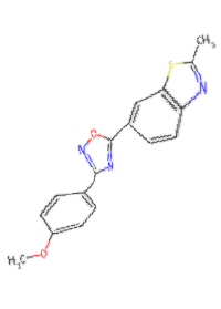 COc1ccc(-c2noc(-c3ccc4nc(C)sc4c3)n2)cc1